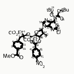 CCOC(=O)C(Cc1ccc(C(=O)OC)cc1)(OC[C@H]1O[C@@H](n2cnc3c(N(OC(C)(C)C)C(=O)OC(C)(C)C)nc(Cl)nc32)[C@@H](F)[C@H]1OC(=O)c1ccc([N+](=O)[O-])cc1)C(=O)OCC